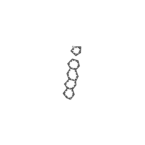 c1cc[se]c1.c1ccc2cc3cc4ccccc4cc3cc2c1